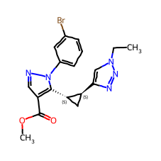 CCn1cc([C@H]2C[C@@H]2c2c(C(=O)OC)cnn2-c2cccc(Br)c2)nn1